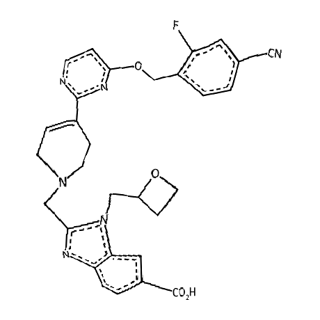 N#Cc1ccc(COc2ccnc(C3=CCN(Cc4nc5ccc(C(=O)O)cc5n4CC4CCO4)CC3)n2)c(F)c1